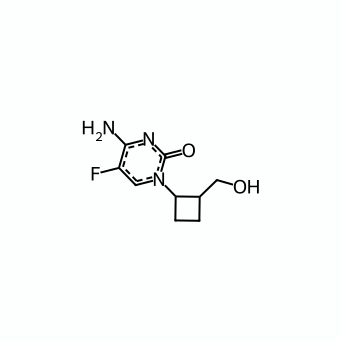 Nc1nc(=O)n(C2CCC2CO)cc1F